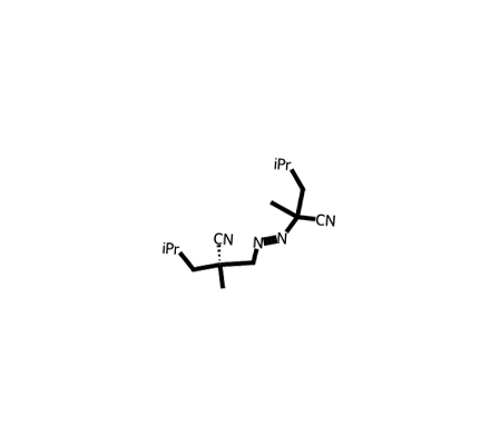 CC(C)CC(C)(C#N)/N=N/C[C@](C)(C#N)CC(C)C